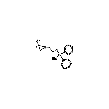 CC(=O)[C@@H]1CN1CCO[Si](c1ccccc1)(c1ccccc1)C(C)(C)C